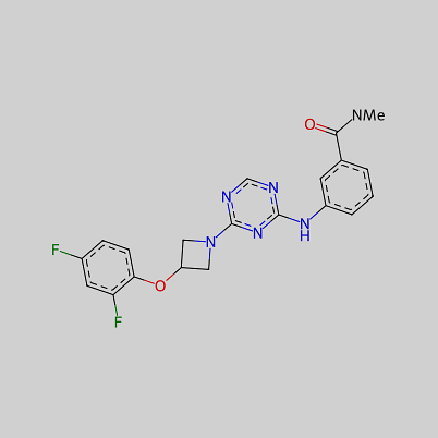 CNC(=O)c1cccc(Nc2ncnc(N3CC(Oc4ccc(F)cc4F)C3)n2)c1